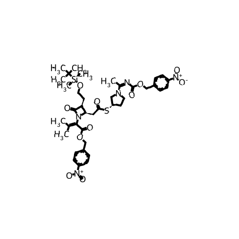 CC(=NC(=O)OCc1ccc([N+](=O)[O-])cc1)N1CC[C@H](SC(=O)C[C@@H]2[C@H](CCO[Si](C)(C)C(C)(C)C)C(=O)N2C(C(=O)OCc2ccc([N+](=O)[O-])cc2)=C(C)C)C1